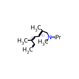 C=C/C(C)=C\C=C(/C)CN(C)C(C)C